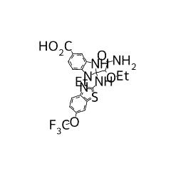 CCOC(C(N)=O)C1(Nc2nc3ccc(OC(F)(F)F)cc3s2)Nc2cc(C(=O)O)ccc2N1CC